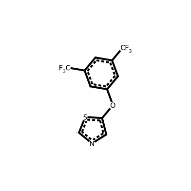 FC(F)(F)c1cc(Oc2cn[c]s2)cc(C(F)(F)F)c1